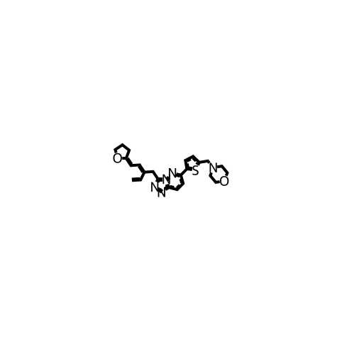 C=C/C(=C\C=C1/CCCO1)Cc1nnc2ccc(-c3ccc(CN4CCOCC4)s3)nn12